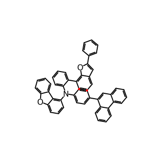 c1ccc(-c2cc3cccc(-c4ccccc4N(c4ccc(-c5cc6ccccc6c6ccccc56)cc4)c4cccc5oc6ccccc6c45)c3o2)cc1